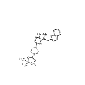 CC(C)(C)OC(=O)N1CCN(c2cnc3c(n2)N(Cc2ccc4ncccc4c2)NN3)CC1